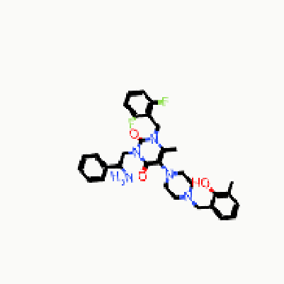 Cc1cccc(CN2CCN(c3c(C)n(Cc4c(F)cccc4F)c(=O)n(CC(N)c4ccccc4)c3=O)CC2)c1O